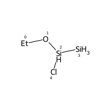 CCO[SiH]([SiH3])Cl